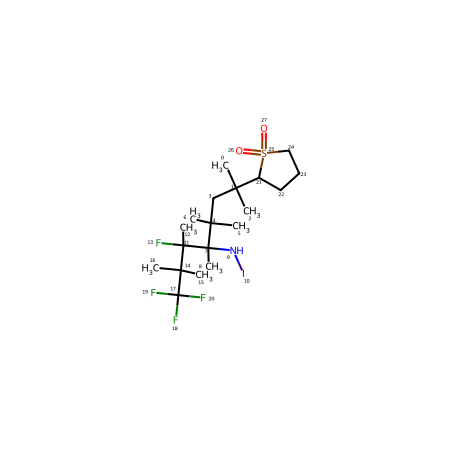 CC(C)(CC(C)(C)C(C)(NI)C(C)(F)C(C)(C)C(F)(F)F)C1CCCS1(=O)=O